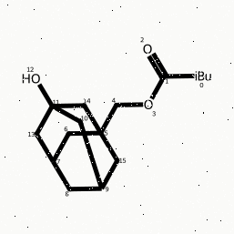 CCC(C)C(=O)OCC12CC3CC(CC(O)(C3)C1)C2